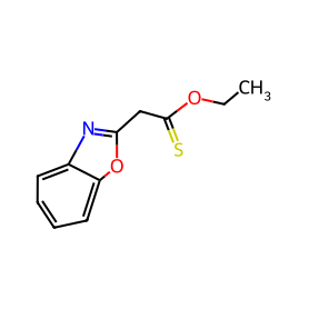 CCOC(=S)Cc1nc2ccccc2o1